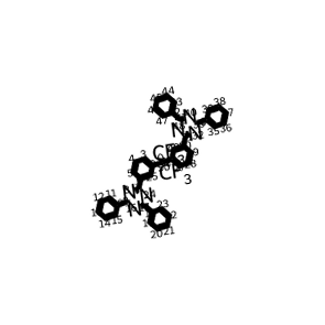 FC(F)(F)C(c1cccc(-c2nc(-c3ccccc3)nc(-c3ccccc3)n2)c1)(c1cccc(-c2nc(-c3ccccc3)nc(-c3ccccc3)n2)c1)C(F)(F)F